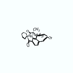 C[C@H](N)C(=O)NC1(C(=O)c2ccc3cc(C#N)ccc3c2)CCCCC1